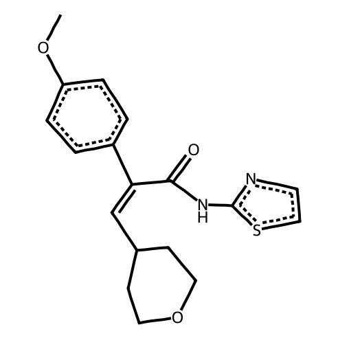 COc1ccc(C(=CC2CCOCC2)C(=O)Nc2nccs2)cc1